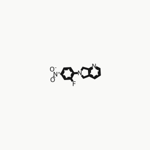 O=[N+]([O-])c1ccc(N2Cc3cccnc3C2)c(F)c1